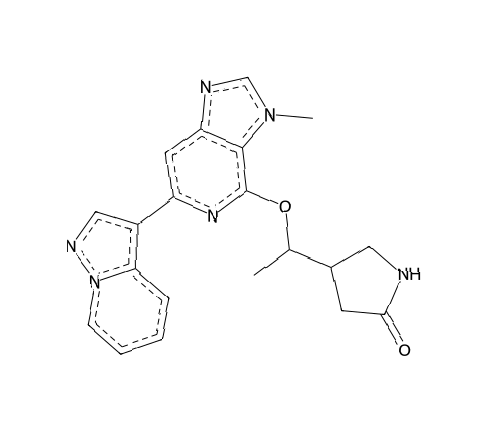 CC(Oc1nc(-c2cnn3ccccc23)cc2ncn(C)c12)C1CNC(=O)C1